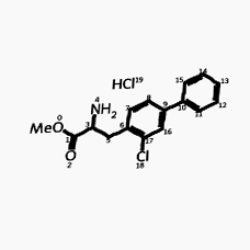 COC(=O)C(N)Cc1ccc(-c2ccccc2)cc1Cl.Cl